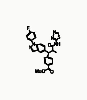 COC(=O)c1ccc(C(c2ccc3c(cnn3-c3ccc(F)cc3)c2)C(C)C(=O)Nc2nncs2)cc1